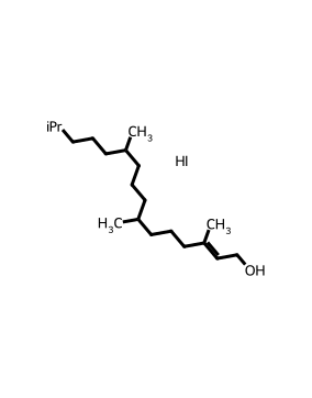 C/C(=C\CO)CCCC(C)CCCC(C)CCCC(C)C.I